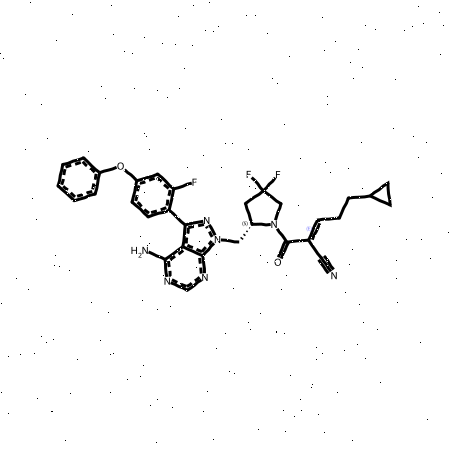 N#C/C(=C\CCC1CC1)C(=O)N1CC(F)(F)C[C@H]1Cn1nc(-c2ccc(Oc3ccccc3)cc2F)c2c(N)ncnc21